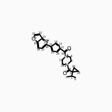 CC(C)C1(C(=O)N2CCN(C(=O)c3ccc(-c4ccc5occc5n4)cc3)CC2)CC1